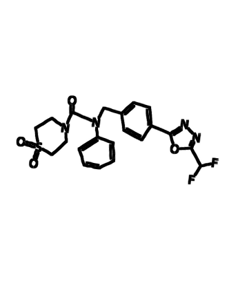 O=C(N1CCS(=O)(=O)CC1)N(Cc1ccc(-c2nnc(C(F)F)o2)cc1)c1ccccc1